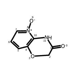 O=C1COc2ccc[n+]([O-])c2N1